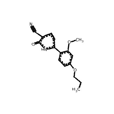 CCCOc1ccc(-c2ccc(C#N)c(=O)[nH]2)c(OC)c1